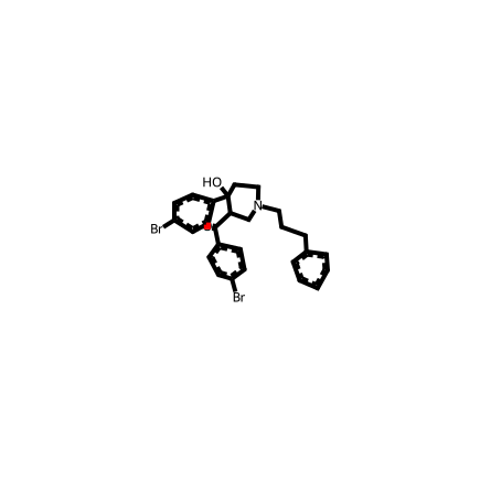 O=C(c1ccc(Br)cc1)C1CN(CCCc2ccccc2)CCC1(O)c1ccc(Br)cc1